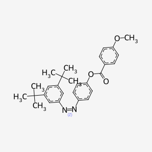 COc1ccc(C(=O)Oc2ccc(/N=N\c3cc(C(C)(C)C)cc(C(C)(C)C)c3)cc2)cc1